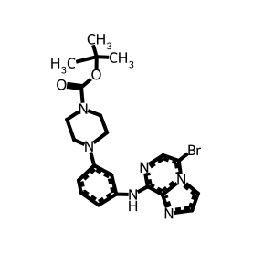 CC(C)(C)OC(=O)N1CCN(c2cccc(Nc3ncc(Br)n4ccnc34)c2)CC1